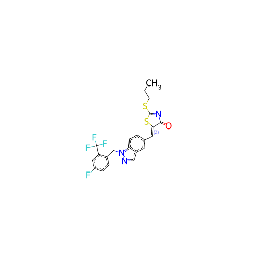 CCCSC1=NC(=O)/C(=C/c2ccc3c(cnn3Cc3ccc(F)cc3C(F)(F)F)c2)S1